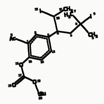 CC(=O)c1cc(C(CC(C)(C)I)C(C)I)ccc1OC(=O)OC(C)(C)C